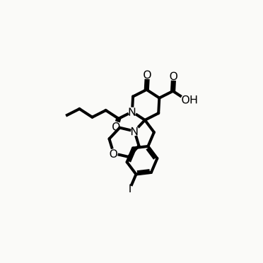 CCCCC(=O)N1CC(=O)C(C(=O)O)CC1(Cc1ccc(I)cc1)N1CCOCC1